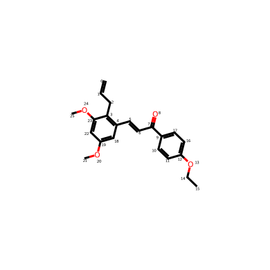 C=CCc1c(/C=C/C(=O)c2ccc(OCC)cc2)cc(OC)cc1OC